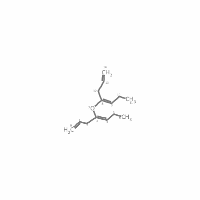 C=CCC(=CCC)OC(=CCC)CC=C